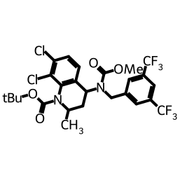 COC(=O)N(Cc1cc(C(F)(F)F)cc(C(F)(F)F)c1)C1CC(C)N(C(=O)OC(C)(C)C)c2c1ccc(Cl)c2Cl